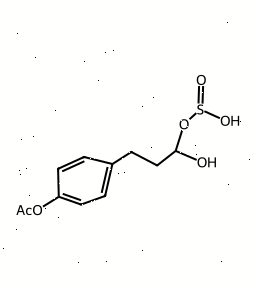 CC(=O)Oc1ccc(CCC(O)OS(=O)O)cc1